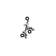 O=C(OCCc1ccccc1)C(CCCOS(=O)(=O)c1ccccc1[N+](=O)[O-])OS(=O)(=O)c1ccccc1[N+](=O)[O-]